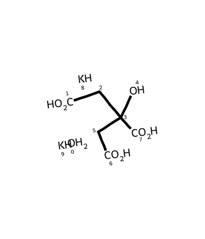 O.O=C(O)CC(O)(CC(=O)O)C(=O)O.[KH].[KH]